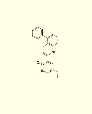 C=Cc1c[nH]c(=O)c(C(=O)Nc2cccc(-c3ccccc3)c2C)c1